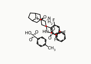 Cc1ccc(S(=O)(=O)O)cc1.N[C@H](Cc1cc(F)c(F)cc1F)C1CC2CCC(C1)N2C(=O)CCNS(=O)(=O)c1ccccc1